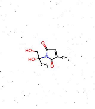 CC1=CC(=O)N(C(C)(O)CO)C1=O